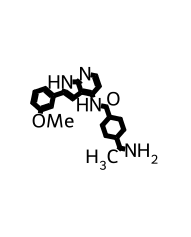 COc1cccc(-c2cc3c(NC(=O)C4CCC(C(C)N)CC4)ccnc3[nH]2)c1